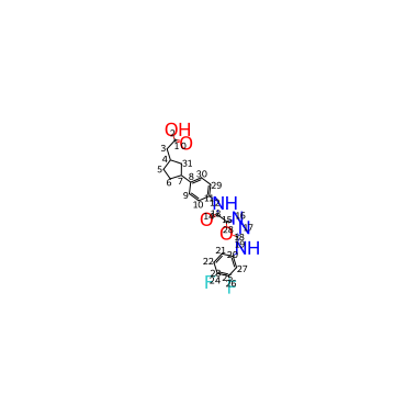 O=C(O)CC1CCC(c2ccc(NC(=O)c3nnc(Nc4ccc(F)c(F)c4)o3)cc2)C1